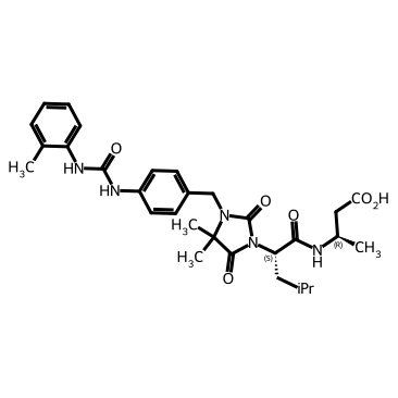 Cc1ccccc1NC(=O)Nc1ccc(CN2C(=O)N([C@@H](CC(C)C)C(=O)N[C@H](C)CC(=O)O)C(=O)C2(C)C)cc1